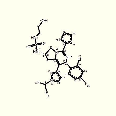 O=S(=O)(NCCO)N[C@H]1CC2=C(c3ccn(C(F)F)n3)[C@H](c3ccc(F)cc3Cl)N=C(c3nccs3)N2C1